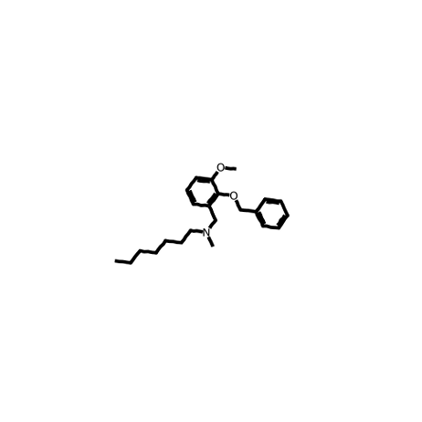 CCCCCCCN(C)Cc1cccc(OC)c1OCc1ccccc1